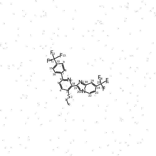 CCSc1ccc(-c2ccc(C(F)(F)F)cc2)nc1-c1cn2ccc(C(F)(F)F)cc2n1